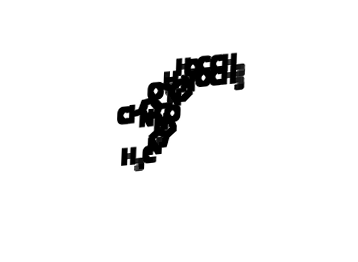 CN1CC2CCN(c3nc(Cl)cc4c3C(=O)N3CCN(C(=O)OC(C)(C)C)C[C@@H]3CO4)C2C1